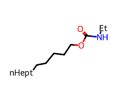 CCCCCCCCCCCCOC(=O)NCC